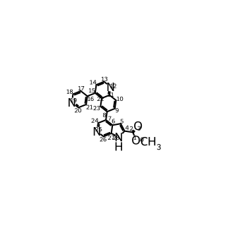 COC(=O)c1cc2c(-c3ccc4nccc(-c5ccncc5)c4c3)cncc2[nH]1